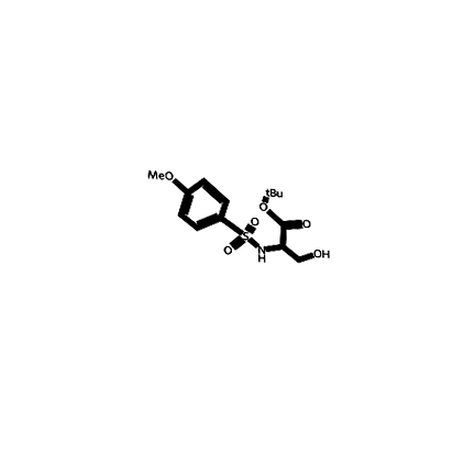 COc1ccc(S(=O)(=O)NC(CO)C(=O)OC(C)(C)C)cc1